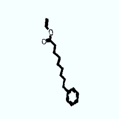 C=COC(=O)CCCCCCCCc1ccccc1